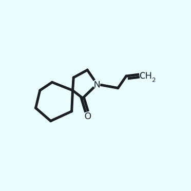 C=CCN1CCC2(CCCCC2)C1=O